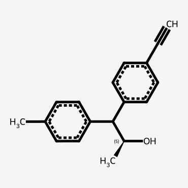 C#Cc1ccc(C(c2ccc(C)cc2)[C@H](C)O)cc1